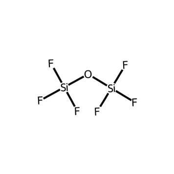 F[Si](F)(F)O[Si](F)(F)F